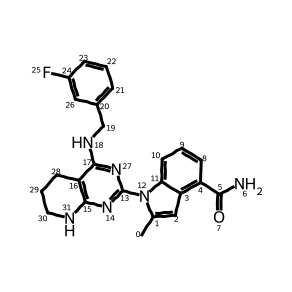 Cc1cc2c(C(N)=O)cccc2n1-c1nc2c(c(NCc3cccc(F)c3)n1)CCCN2